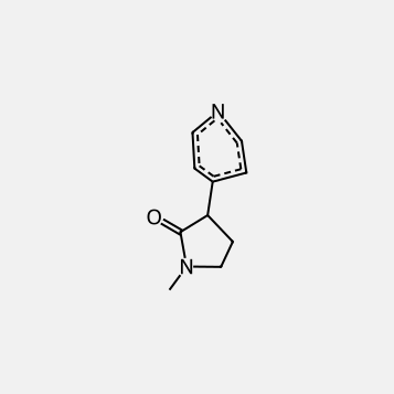 CN1CCC(c2ccncc2)C1=O